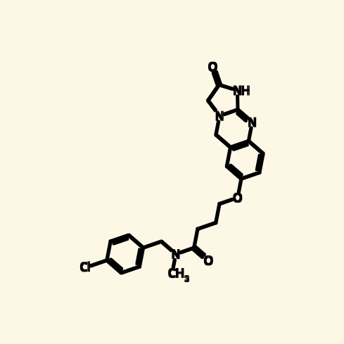 CN(Cc1ccc(Cl)cc1)C(=O)CCCOc1ccc2c(c1)CN1CC(=O)NC1=N2